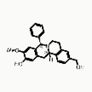 COc1cc2c(cc1O)C[C@H]1c3ccc(CO)cc3CCN1[C@@H]2c1ccccc1